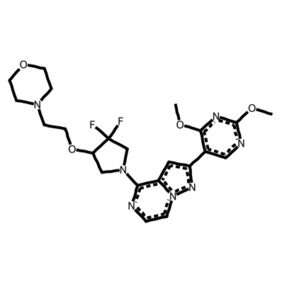 COc1ncc(-c2cc3c(N4CC(OCCN5CCOCC5)C(F)(F)C4)nccn3n2)c(OC)n1